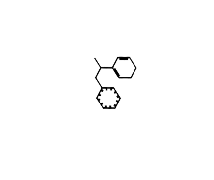 CC(Cc1ccccc1)C1=CC[CH]C=C1